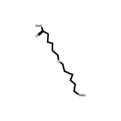 CNCCCCCCOCCCCCC(=O)NC